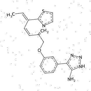 C=C(/C=C\C(=C/C)c1nccs1)COc1cccc(-c2nn[nH]c2N)c1